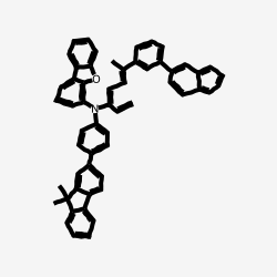 C=C/C(=C\C=C(/C)c1cccc(-c2ccc3ccccc3c2)c1)N(c1ccc(-c2ccc3c(c2)C(C)(C)c2ccccc2-3)cc1)c1cccc2c1oc1ccccc12